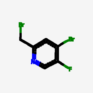 Fc1cnc(CBr)cc1Br